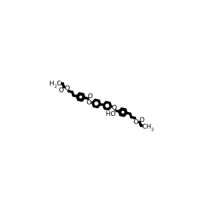 C=CC(=O)OCCCc1ccc(C(=O)OC2CCC(C3CCC(OC(O)c4ccc(CCCOC(=O)C=C)cc4)CC3)CC2)cc1